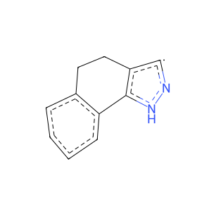 [c]1n[nH]c2c1CCc1ccccc1-2